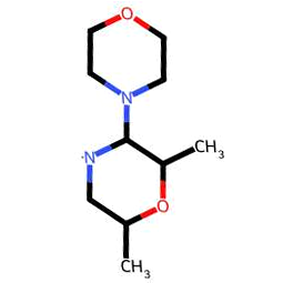 CC1C[N]C(N2CCOCC2)C(C)O1